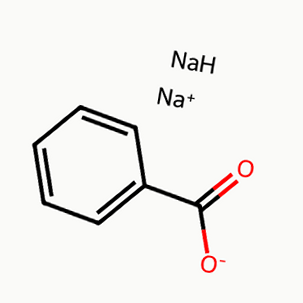 O=C([O-])c1ccccc1.[Na+].[NaH]